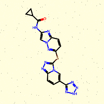 O=C(Nc1cn2nc(Sc3nnc4ccc(-c5nn[nH]n5)cn34)ccc2n1)C1CC1